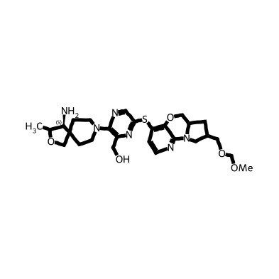 COCOCC1CC2COc3c(Sc4cnc(N5CCC6(CC5)COC(C)[C@H]6N)c(CO)n4)ccnc3N2C1